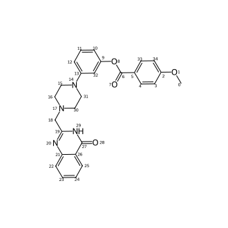 COc1ccc(C(=O)Oc2cccc(N3CCN(Cc4nc5ccccc5c(=O)[nH]4)CC3)c2)cc1